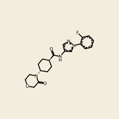 O=C1COCCN1[C@H]1CC[C@H](C(=O)Nc2cnn(-c3ccccc3F)c2)CC1